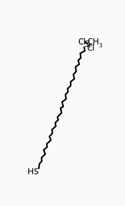 C[Si](Cl)(Cl)CCCCCCCCCCCCCCCCCCCCCCCCCCCCCCCCCCCCS